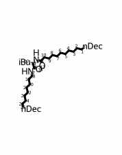 CCCCCCCCCCCCCCCCCCCCC(=O)N[C@H](C(=O)NCCCCCCCCCCCCCCCCCC)[C@@H](C)CC